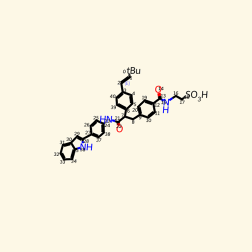 CC(C)(C)/C=C/c1ccc(C(Cc2ccc(C(=O)NCCS(=O)(=O)O)cc2)C(=O)Nc2ccc(-c3cc4ccccc4[nH]3)cc2)cc1